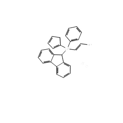 CCCC=[CH][Hf+2]([C]1=CC=CC1)([c]1ccccc1)[CH]1c2ccccc2-c2ccccc21.[Cl-].[Cl-]